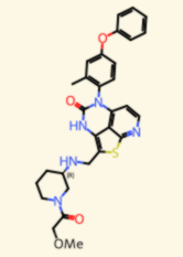 COCC(=O)N1CCC[C@@H](NCc2sc3nccc4c3c2NC(=O)N4c2ccc(Oc3ccccc3)cc2C)C1